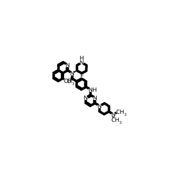 Cc1cccc2ccnc(N(C(=O)c3ccc(Nc4nccc(N5CCC(N(C)C)CC5)n4)cc3F)[C@@H]3CCCNC3)c12